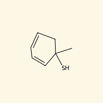 CC1(S)C=CC=CC1